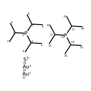 CC(C)P(C(C)C)C(C)C.CC(C)P(C(C)C)C(C)C.[Au+].[Au+].[S-2]